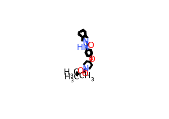 CC(C)(C)OC(=O)N1CCC(Oc2ccc(NC(=O)n3cc4ccccc4c3)cc2)CC1